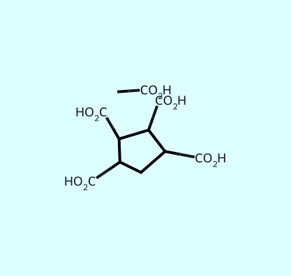 CC(=O)O.O=C(O)C1CC(C(=O)O)C(C(=O)O)C1C(=O)O